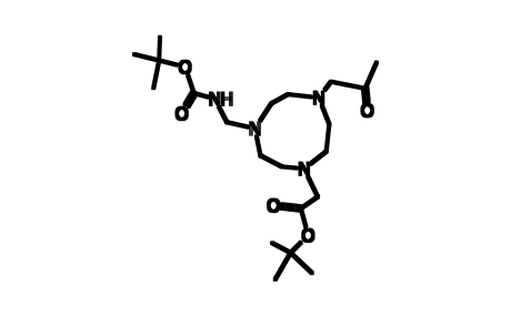 CC(=O)CN1CCN(CNC(=O)OC(C)(C)C)CCN(CC(=O)OC(C)(C)C)CC1